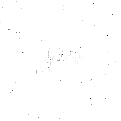 C=CC(=O)N1CCNC2(CCN(C(=O)N(C)[C@H](C(N)=O)C(C)C)CC2)C1